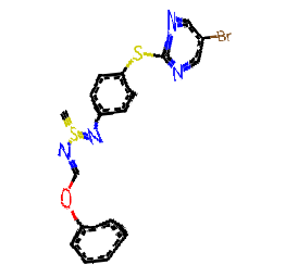 C#S(N=COc1ccccc1)=Nc1ccc(Sc2ncc(Br)cn2)cc1